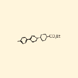 CCOC(=O)C1CCC(C2CC=C(c3ccc(C)cc3)CC2)CC1